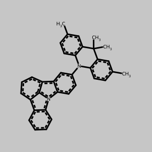 Cc1ccc2c(c1)C(C)(C)c1cc(C)ccc1N2c1ccc2c(c1)c1cccc3c4ccccc4n2c31